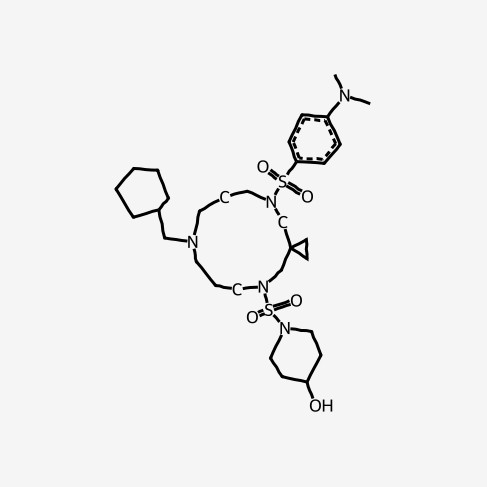 CN(C)c1ccc(S(=O)(=O)N2CCCN(CC3CCCCC3)CCCN(S(=O)(=O)N3CCC(O)CC3)CC3(CC3)C2)cc1